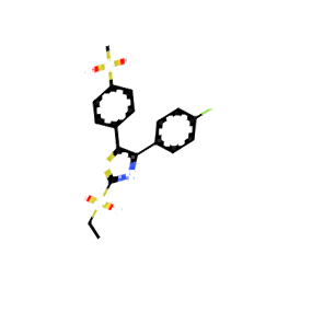 CCS(=O)(=O)c1nc(-c2ccc(F)cc2)c(-c2ccc(S(C)(=O)=O)cc2)s1